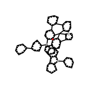 c1ccc(-c2ccc(N(c3ccc4c(c3)C3(c5ccccc5-c5ccccc5-4)c4ccccc4-c4cc5ccccc5cc43)c3ccc4c(c3)c3ccccc3n4-c3ccccc3)cc2)cc1